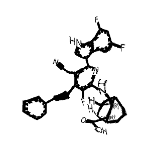 N#Cc1c(-c2c[nH]c3c(F)cc(F)cc23)nc(N[C@@H]2C3CCC(CC3)[C@H]2C(=O)O)c(F)c1C#Cc1ccccc1